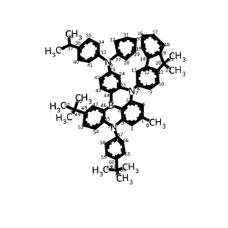 Cc1cc2c3c(c1)N(c1ccc4c(c1)-c1ccccc1C4(C)C)c1cc(N(c4ccccc4)c4ccc(C(C)C)cc4)ccc1B3c1cc(C(C)(C)C)ccc1N2c1ccc(C(C)(C)C)cc1